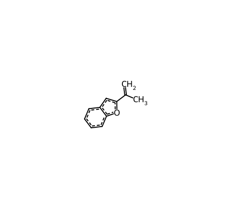 C=C(C)c1cc2ccccc2o1